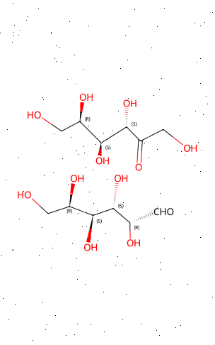 O=C(CO)[C@@H](O)[C@@H](O)[C@H](O)CO.O=C[C@H](O)[C@@H](O)[C@@H](O)[C@H](O)CO